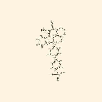 Cc1cccc(C(=O)NO)c1N(Cc1cccnc1)S(=O)(=O)c1ccc(-c2ccc(C(F)(F)F)cc2)cc1